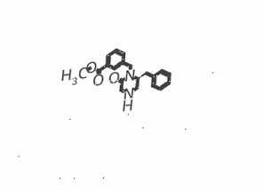 COC(=O)c1cccc(CN2C(=O)CNC[C@@H]2Cc2ccccc2)c1